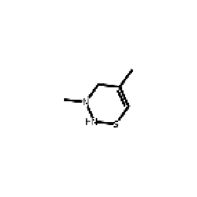 CC1=CSNN(C)C1